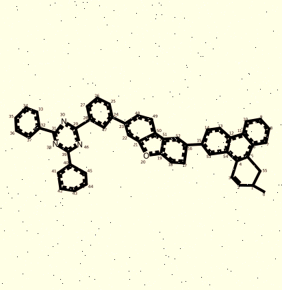 CC1C=Cc2c(c3ccccc3c3ccc(-c4ccc5oc6cc(-c7cccc(-c8nc(-c9ccccc9)nc(-c9ccccc9)n8)c7)ccc6c5c4)cc23)C1